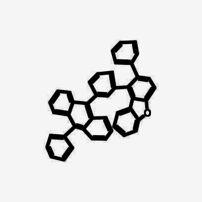 c1ccc(-c2ccc3oc4ccccc4c3c2-c2cccc(-c3c4ccccc4c(-c4ccccc4)c4ccccc34)c2)cc1